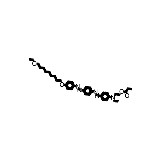 CCOCCCCCCCCCOc1ccc(N=Nc2ccc(N=Nc3ccc(N(CC)CCOC(=O)CC)cc3)cc2)cc1